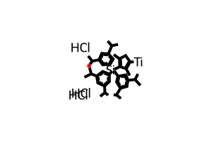 CC1=C([Si](c2cc(C(C)C)cc(C(C)C)c2)(c2cc(C(C)C)cc(C(C)C)c2)c2cc(C(C)C)cc(C(C)C)c2)C(C)=[C]([Ti])C1.Cl.Cl.Cl